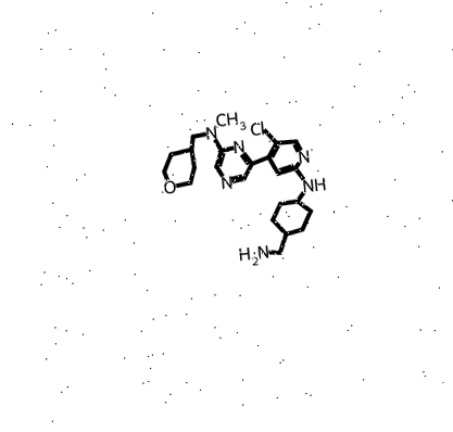 CN(CC1CCOCC1)c1cncc(-c2cc(NC3CCC(CN)CC3)ncc2Cl)n1